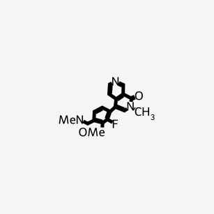 CNCc1ccc(-c2cn(C)c(=O)c3cnccc23)c(F)c1OC